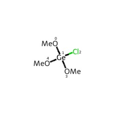 C[O][Ge]([Cl])([O]C)[O]C